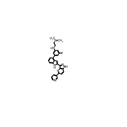 CN(C)CCNc1cc(F)cc(-c2cccc3[nH]c(-c4n[nH]c5ccc(-c6cccnc6)nc45)cc23)c1